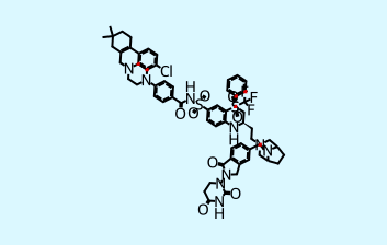 CC1(C)CCC(c2ccc(Cl)cc2)=C(CN2CCN(c3ccc(C(=O)NS(=O)(=O)c4ccc(N[C@H](CCN5CC6CCC(C5)N6Cc5ccc6c(c5)CN(N5CCC(=O)NC5=O)C6=O)CSc5ccccc5)c(S(=O)(=O)C(F)(F)F)c4)cc3)CC2)C1